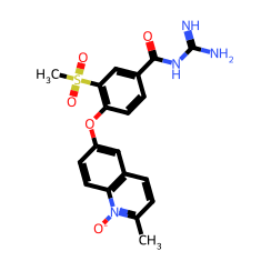 Cc1ccc2cc(Oc3ccc(C(=O)NC(=N)N)cc3S(C)(=O)=O)ccc2[n+]1[O-]